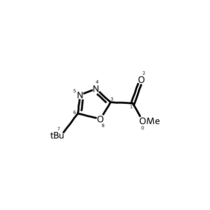 COC(=O)c1nnc(C(C)(C)C)o1